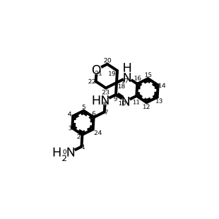 NCc1cccc(CNC2=Nc3ccccc3NC23CCOCC3)c1